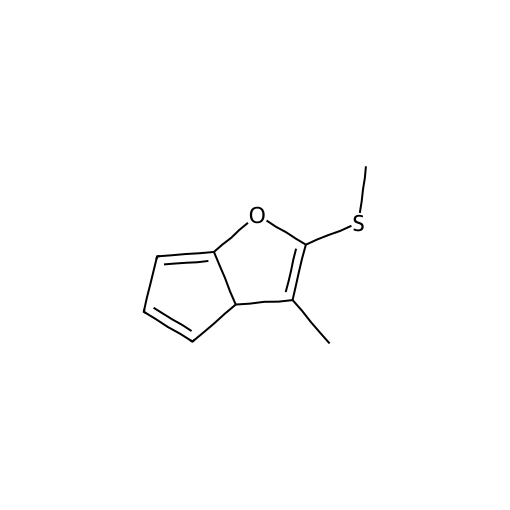 CSC1=C(C)C2C=CC=C2O1